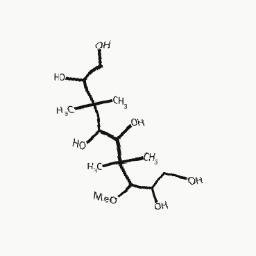 COC(C(O)CO)C(C)(C)C(O)C(O)C(C)(C)C(O)CO